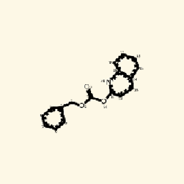 O=C(OCc1ccccc1)Oc1ccc2ccccc2n1